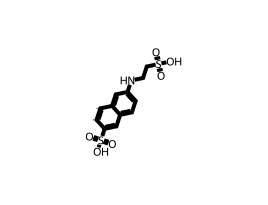 O=S(=O)(O)CCNc1ccc2cc(S(=O)(=O)O)[c][c]c2c1